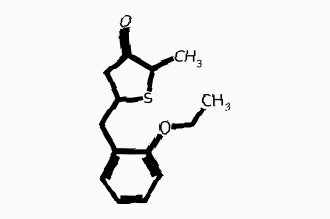 CCOc1ccccc1CC1CC(=O)C(C)S1